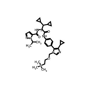 CC(C)n1nccc1C(=O)N[C@H](C(=O)Nc1ccc(-c2c(C3CC3)ncn2COCC[Si](C)(C)C)cc1)C(C1CC1)C1CC1